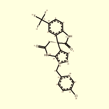 O=C1C[C@]2(C(=O)Nc3ccc(C(F)(F)F)cc32)c2cnn(Cc3ccc(Cl)cn3)c2N1